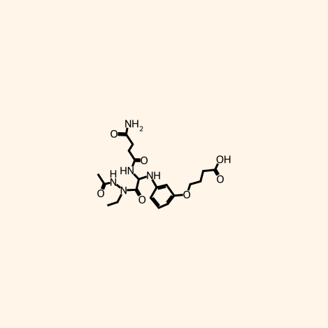 CCN(NC(C)=O)C(=O)C(NC(=O)CCC(N)=O)Nc1cccc(OCCCC(=O)O)c1